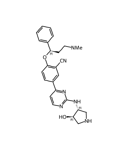 CNCC[C@@H](Oc1ccc(-c2ccnc(N[C@@H]3CNC[C@H]3O)n2)cc1C#N)c1ccccc1